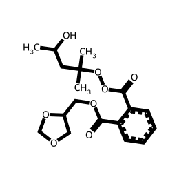 CC(O)CC(C)(C)OOC(=O)c1ccccc1C(=O)OCC1COCO1